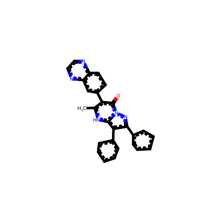 Cc1[nH]c2c(-c3ccccc3)c(-c3ccccc3)nn2c(=O)c1-c1ccc2nccnc2c1